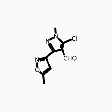 Cc1cc(-c2nn(C)c(Cl)c2C=O)no1